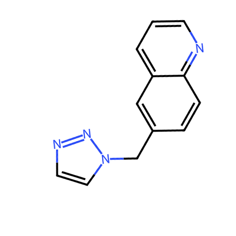 c1cnc2ccc(Cn3ccnn3)cc2c1